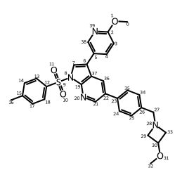 COc1ccc(-c2cn(S(=O)(=O)c3ccc(C)cc3)c3ncc(-c4ccc(CN5CC(OC)C5)cc4)cc23)cn1